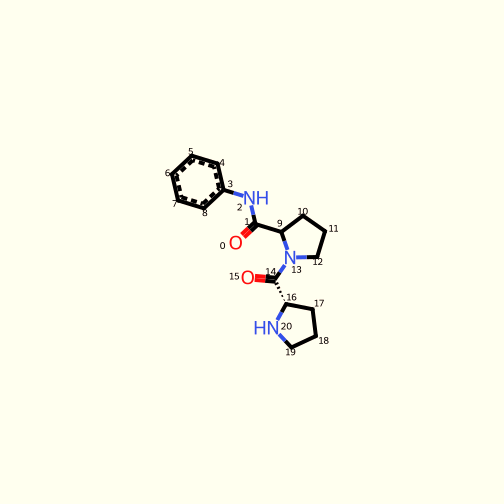 O=C(Nc1ccccc1)C1CCCN1C(=O)[C@@H]1CCCN1